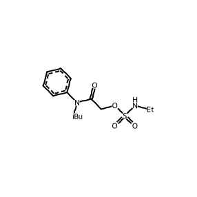 CCNS(=O)(=O)OCC(=O)N(c1ccccc1)C(C)CC